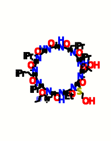 C/C=C/C[C@@H](C)C[C@H]1C(=O)N[C@H](CC)C(=O)N(C)[C@H](CSCCO)C(=O)N(C)[C@@H](CC(C)(C)O)C(=O)N[C@H](C(C)C)C(=O)N(C)[C@H](CC(C)C)C(=O)N[C@H](C)C(=O)N[C@@H](C)C(=O)N(C)[C@@H](CC(C)C)C(=O)N(C)[C@H](CCC(C)C)C(=O)N(C)[C@H](C(C)C)C(=O)N1C